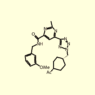 COc1cccc(CNC(=O)c2cc(-c3nnn(C[C@H]4CC[C@H](C(C)=O)CC4)n3)nc(C)n2)c1